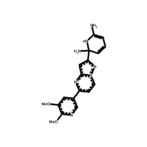 COc1cc(-c2ccn3nc(C4(N)C=CC=C(N)N4)cc3n2)cnc1OC